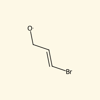 [O]CC=CBr